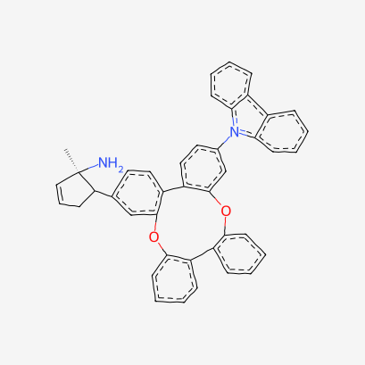 C[C@@]1(N)C=CCC1c1ccc2c(c1)Oc1ccccc1-c1ccccc1Oc1cc(-n3c4ccccc4c4ccccc43)ccc1-2